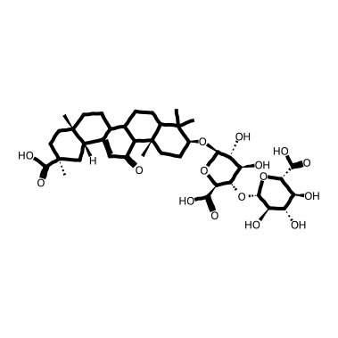 CC1(C)C2CCC3C4CC[C@@]5(C)CC[C@](C)(C(=O)O)C[C@H]5C4=CC(=O)C3[C@@]2(C)CC[C@@H]1O[C@@H]1O[C@H](C(=O)O)[C@@H](O[C@@H]2O[C@H](C(=O)O)[C@@H](O)[C@H](O)[C@H]2O)[C@H](O)[C@H]1O